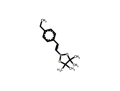 CCc1ccc(/C=C/B2OC(C)(C)C(C)(C)O2)cc1